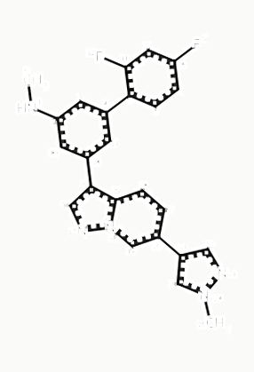 CNc1cc(-c2ccc(F)cc2F)cc(-c2cnn3cc(-c4cnn(C)c4)ccc23)c1